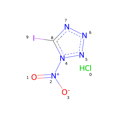 Cl.O=[N+]([O-])n1nnnc1I